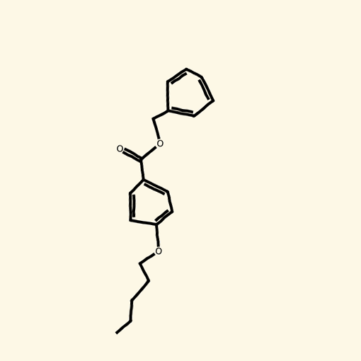 CCCCCOc1ccc(C(=O)OCc2ccccc2)cc1